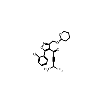 CC(C)C#CC(=O)c1c(COC2CCCCO2)noc1-c1ccccc1Cl